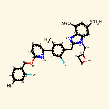 COc1cc(C(=O)O)cc2c1nc(Cc1cc(C)c(-c3cccc(OCc4ccc(C#N)cc4F)n3)cc1F)n2C[C@@H]1CCO1